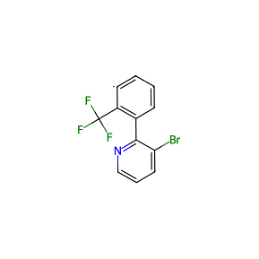 FC(F)(F)c1[c]cccc1-c1ncccc1Br